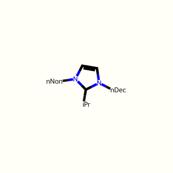 CCCCCCCCCCN1C=CN(CCCCCCCCC)C1C(C)C